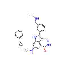 O=C(O)Nc1cc2c3c(c(-c4cccc(CNC5CCC5)c4)[nH]c3c1)C=NNC2=O.c1ccc(C2CC2)cc1